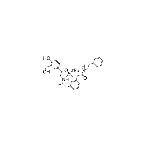 C[C@H](Cc1cccc(CC(=O)NCCc2ccccc2)c1)NC[C@H](O[Si](C)(C)C(C)(C)C)c1ccc(O)c(CO)c1